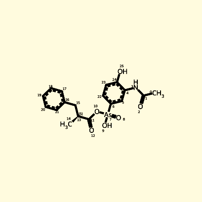 CC(=O)Nc1cc([As](=O)(O)OC(=O)[C@@H](C)Cc2ccccc2)ccc1O